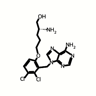 Nc1ncnc2c1ncn2Cc1c(OCCC[C@@H](N)CO)ccc(Cl)c1Cl